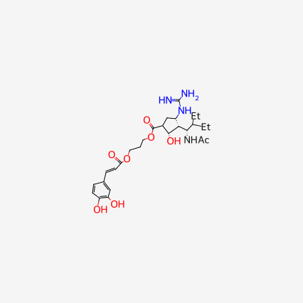 CCC(CC)[C@H](NC(C)=O)[C@H]1C(NC(=N)N)CC(C(=O)OCCCOC(=O)/C=C/c2ccc(O)c(O)c2)[C@H]1O